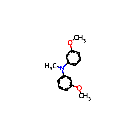 COc1cccc(N(C)c2cccc(OC)c2)c1